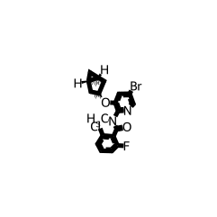 CN(C(=O)c1c(F)cccc1Cl)c1ncc(Br)cc1O[C@@H]1C[C@@H]2C[C@@H]2C1